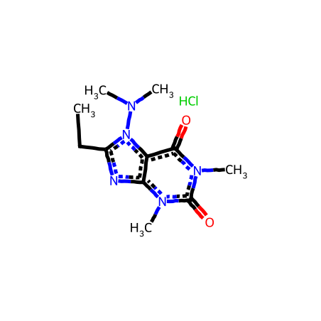 CCc1nc2c(c(=O)n(C)c(=O)n2C)n1N(C)C.Cl